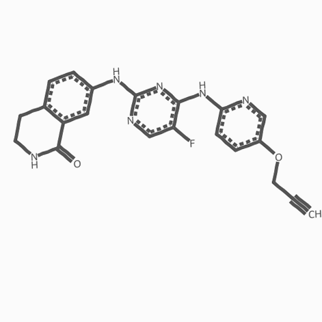 C#CCOc1ccc(Nc2nc(Nc3ccc4c(c3)C(=O)NCC4)ncc2F)nc1